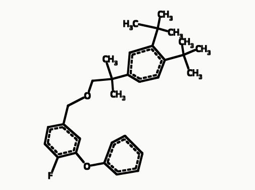 CC(C)(C)c1ccc(C(C)(C)COCc2ccc(F)c(Oc3ccccc3)c2)cc1C(C)(C)C